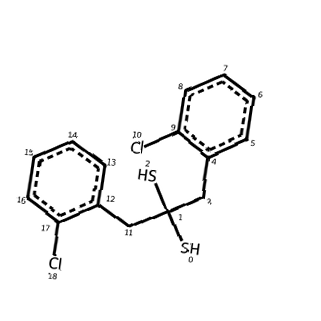 SC(S)(Cc1ccccc1Cl)Cc1ccccc1Cl